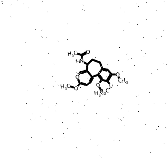 COC1=CC=C2C(=CO1)C(NC(C)=O)CCc1cc(OC)c(OC)c(OC)c12